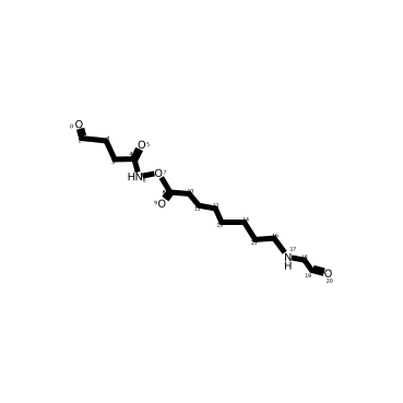 O=CCCC(=O)NOC(=O)CCCCCCCNCC=O